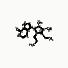 CCCN1[C@H](CC)[C@@H](O)[C@@H](O)[C@@H]1c1c[nH]c2c(=O)[nH]cnc12